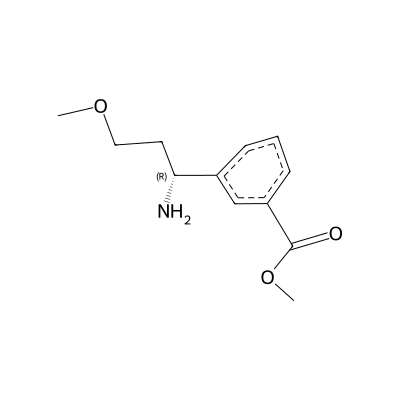 COCC[C@@H](N)c1cccc(C(=O)OC)c1